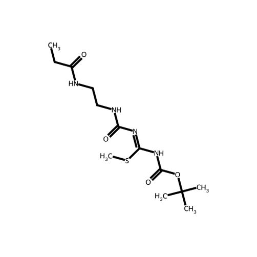 CCC(=O)NCCNC(=O)/N=C(/NC(=O)OC(C)(C)C)SC